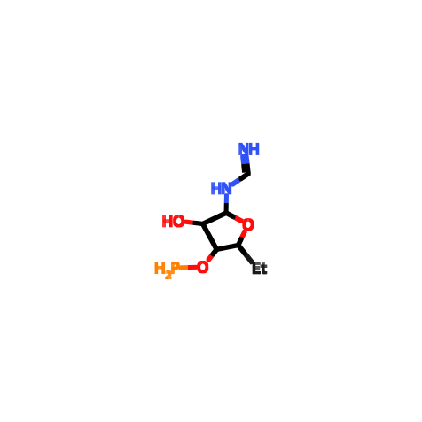 CCC1OC(NC=N)C(O)C1OP